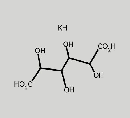 O=C(O)C(O)C(O)C(O)C(O)C(=O)O.[KH]